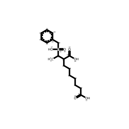 CC(C(CCCCCCC(=O)O)C(=O)O)P(=O)(O)Cc1ccccc1